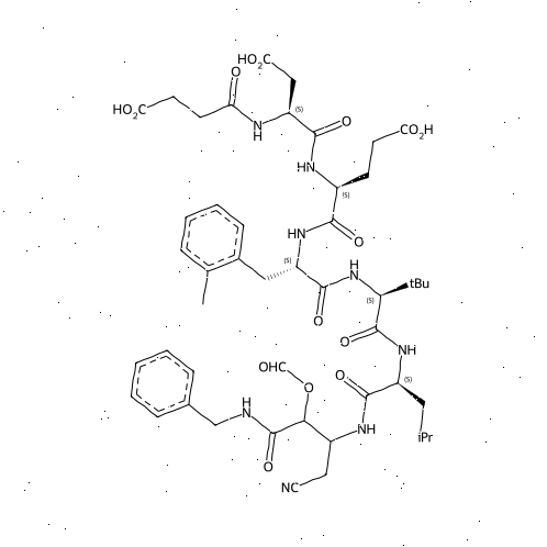 Cc1ccccc1C[C@H](NC(=O)[C@H](CCC(=O)O)NC(=O)[C@H](CC(=O)O)NC(=O)CCC(=O)O)C(=O)N[C@H](C(=O)N[C@@H](CC(C)C)C(=O)NC(CC#N)C(OC=O)C(=O)NCc1ccccc1)C(C)(C)C